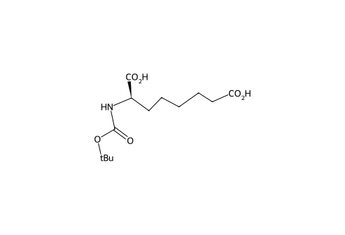 CC(C)(C)OC(=O)N[C@H](CCCCCC(=O)O)C(=O)O